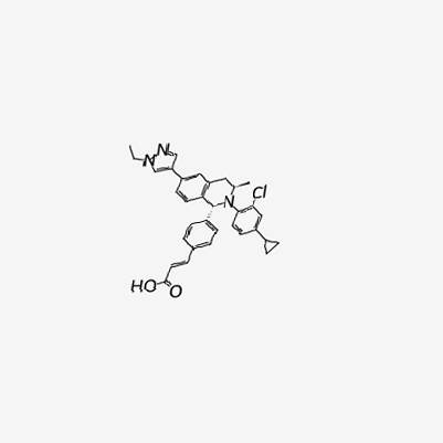 CCn1cc(-c2ccc3c(c2)C[C@@H](C)N(c2ccc(C4CC4)cc2Cl)[C@@H]3c2ccc(/C=C/C(=O)O)cc2)cn1